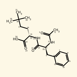 CC(=O)N[C@@H](Cc1ccccc1)C(=O)N[C@@H](CCC(C)(C)C)C(=O)O